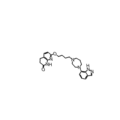 O=C1CCc2ccc(OCCCCN3CCCN(c4cccc5cn[nH]c45)CC3)nc2N1